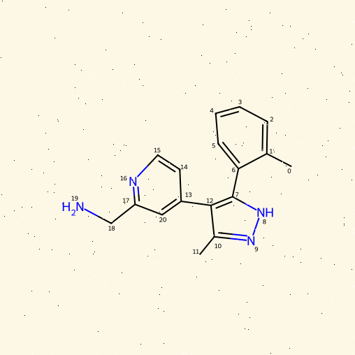 Cc1ccccc1-c1[nH]nc(C)c1-c1ccnc(CN)c1